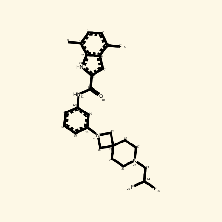 Cc1ccc(F)c2cc(C(=O)Nc3cccc(N4CC5(CCN(CC(F)F)CC5)C4)c3)[nH]c12